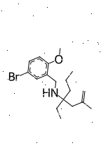 C=C(C)CC(CC)(CCC)NCc1cc(Br)ccc1OC